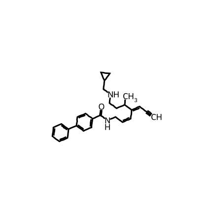 C#C/C=C(\C=C/CNC(=O)c1ccc(-c2ccccc2)cc1)C(C)CCNCC1CC1